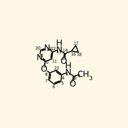 CC(=O)Nc1cccc(Oc2cc(NC(=O)C3CC3)ncn2)c1